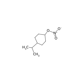 CC(C)C1CCC(O[N+](=O)[O-])CC1